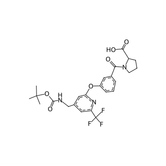 CC(C)(C)OC(=O)NCc1cc(Oc2cccc(C(=O)N3CCCC3C(=O)O)c2)nc(C(F)(F)F)c1